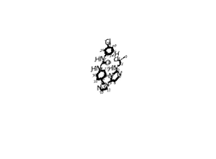 C[C@H](O)CNc1nccc(-n2ccnc2-c2ccc(NC(=O)Nc3cccc(Cl)c3)cc2)n1